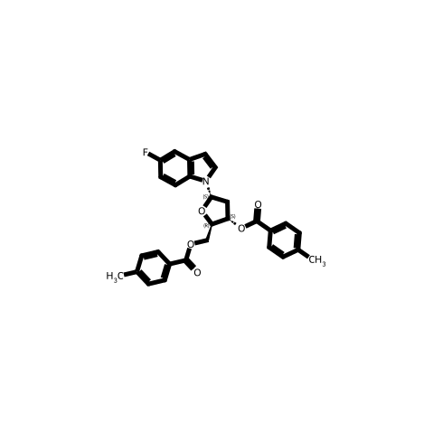 Cc1ccc(C(=O)OC[C@H]2O[C@H](n3ccc4cc(F)ccc43)C[C@@H]2OC(=O)c2ccc(C)cc2)cc1